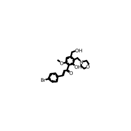 COc1cc(CO)c(CN2CCOCC2)c(O)c1C(=O)/C=C/c1ccc(Br)cc1